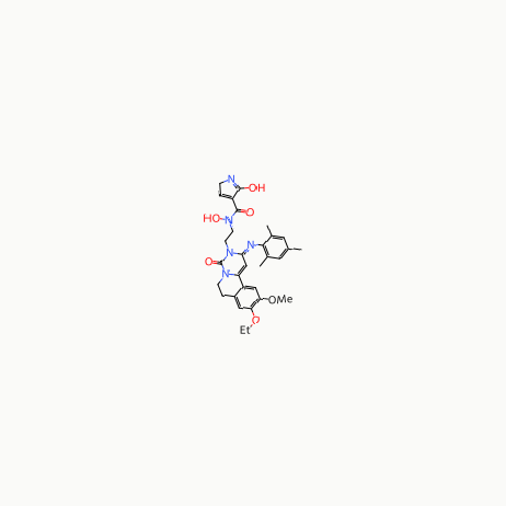 CCOc1cc2c(cc1OC)-c1c/c(=N\c3c(C)cc(C)cc3C)n(CCN(O)C(=O)C3=CCN=C3O)c(=O)n1CC2